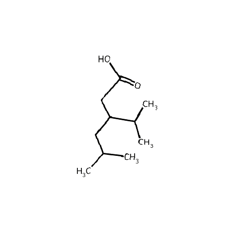 CC(C)CC(CC(=O)O)C(C)C